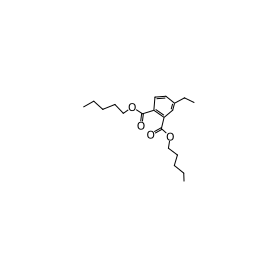 CCCCCOC(=O)c1ccc(CC)cc1C(=O)OCCCCC